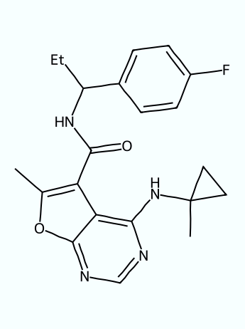 CCC(NC(=O)c1c(C)oc2ncnc(NC3(C)CC3)c12)c1ccc(F)cc1